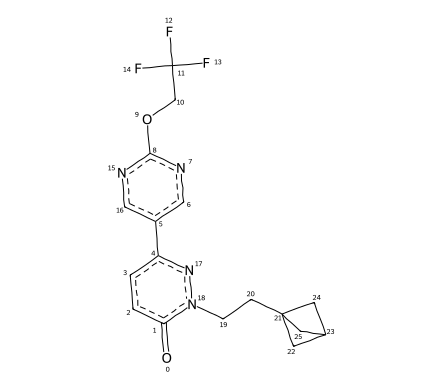 O=c1ccc(-c2cnc(OCC(F)(F)F)nc2)nn1CCC12CC(C1)C2